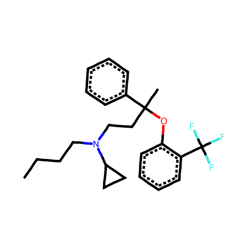 CCCCN(CCC(C)(Oc1ccccc1C(F)(F)F)c1ccccc1)C1CC1